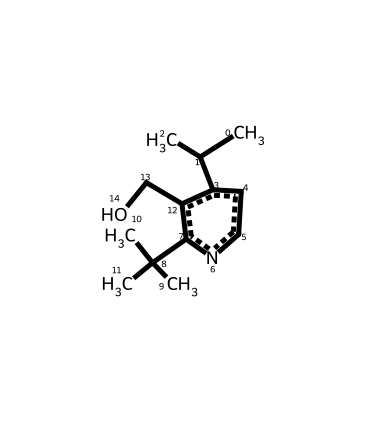 CC(C)c1ccnc(C(C)(C)C)c1CO